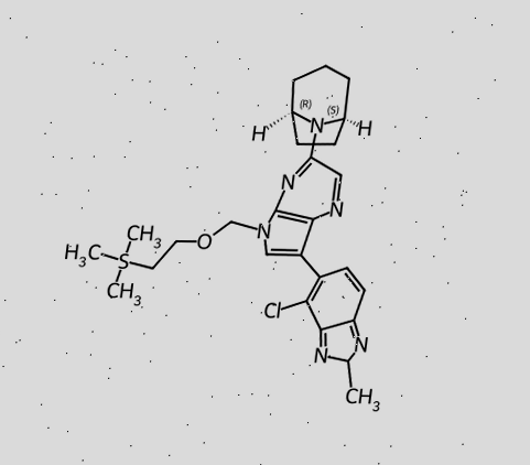 CC1N=c2ccc(-c3cn(COCCS(C)(C)C)c4nc(N5[C@@H]6CCC[C@H]5CC6)cnc34)c(Cl)c2=N1